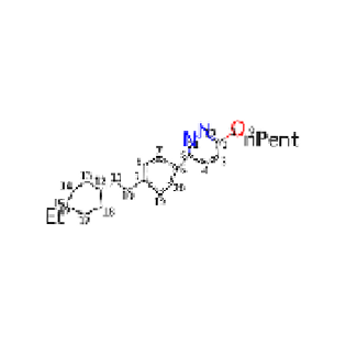 CCCCCOc1ccc(-c2ccc(CC[C@H]3CC[C@H](CC)CC3)cc2)nn1